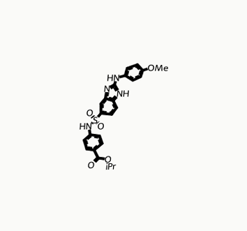 COc1ccc(Nc2nc3cc(S(=O)(=O)Nc4ccc(C(=O)OC(C)C)cc4)ccc3[nH]2)cc1